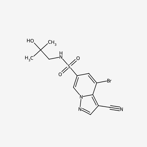 CC(C)(O)CNS(=O)(=O)c1cc(Br)c2c(C#N)cnn2c1